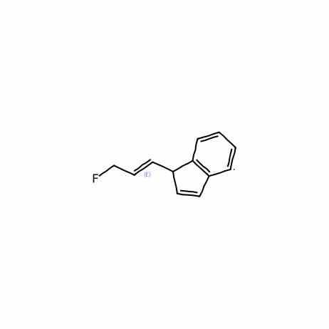 FC/C=C/C1C=Cc2[c]cccc21